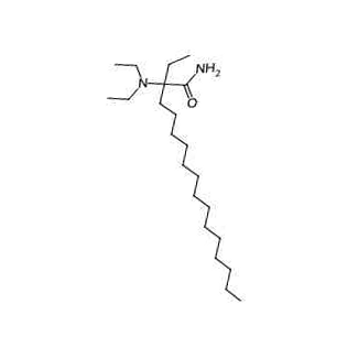 CCCCCCCCCCCCCCC(CC)(C(N)=O)N(CC)CC